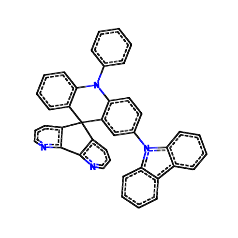 c1ccc(N2c3ccccc3C3(c4cc(-n5c6ccccc6c6ccccc65)ccc42)c2cccnc2-c2ncccc23)cc1